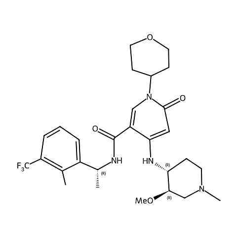 CO[C@@H]1CN(C)CC[C@H]1Nc1cc(=O)n(C2CCOCC2)cc1C(=O)N[C@H](C)c1cccc(C(F)(F)F)c1C